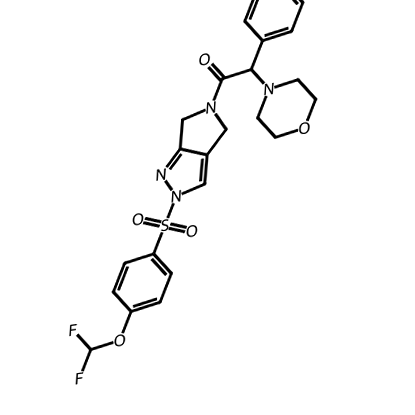 O=C(C(c1ccccc1)N1CCOCC1)N1Cc2cn(S(=O)(=O)c3ccc(OC(F)F)cc3)nc2C1